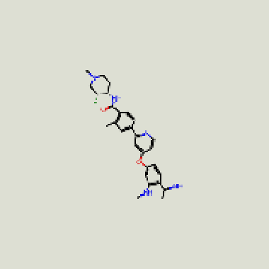 CNc1cc(Oc2ccnc(-c3ccc(C(=O)N[C@H]4CCN(C)C[C@H]4F)c(C)c3)c2)ccc1C(C)=N